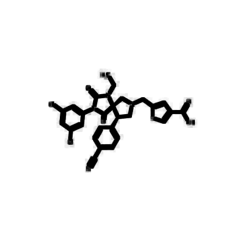 CCN1C(=O)N(c2cc(Cl)cc(Cl)c2)C(=O)[C@]12CN(Cc1cc(C(=O)O)cs1)C[C@H]2c1ccc(C#N)cc1